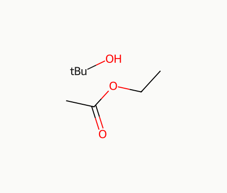 CC(C)(C)O.CCOC(C)=O